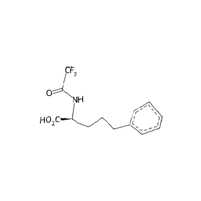 O=C(O)[C@H](CCCc1ccccc1)NC(=O)C(F)(F)F